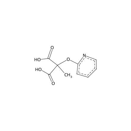 CC(Oc1ccccn1)(C(=O)O)C(=O)O